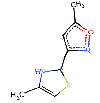 CC1=CS[C](c2cc(C)on2)N1